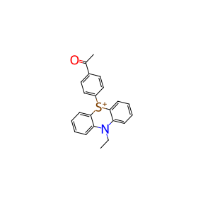 CCN1c2ccccc2[S+](c2ccc(C(C)=O)cc2)c2ccccc21